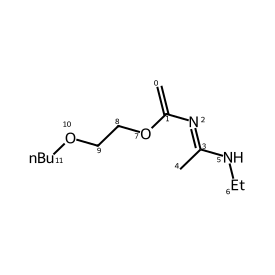 C=C(/N=C(\C)NCC)OCCOCCCC